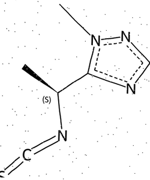 C[C@H](N=C=S)c1ncnn1C